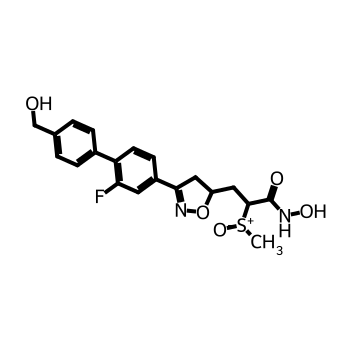 C[S+]([O-])C(CC1CC(c2ccc(-c3ccc(CO)cc3)c(F)c2)=NO1)C(=O)NO